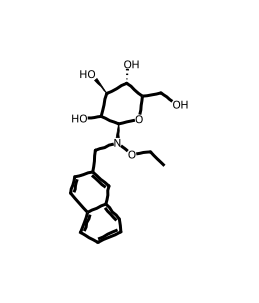 CCON(Cc1ccc2ccccc2c1)[C@@H]1OC(CO)[C@@H](O)[C@H](O)C1O